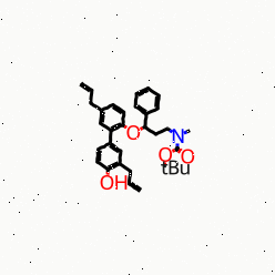 C=CCc1ccc(OC(CCN(C)C(=O)OC(C)(C)C)c2ccccc2)c(-c2ccc(O)c(CC=C)c2)c1